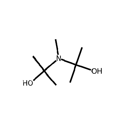 CN(C(C)(C)O)C(C)(C)O